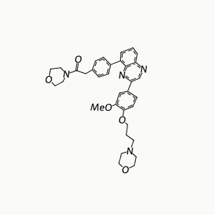 COc1cc(-c2cnc3cccc(-c4ccc(CC(=O)N5CCOCC5)cc4)c3n2)ccc1OCCCN1CCOCC1